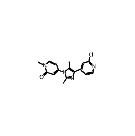 Cc1nc(-c2ccnc(Cl)c2)c(C)n1-c1ccn(C)c(=O)c1